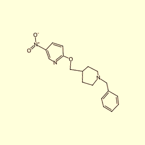 O=[N+]([O-])c1ccc(OCC2CCN(Cc3ccccc3)CC2)nc1